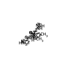 Cc1cc(C)c(S(=O)(=O)NC(CNC(=O)c2cccc3[nH]ncc23)C(=O)OCCCNc2ncc[nH]2)c(C)c1